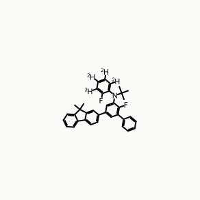 [2H]c1c([2H])c([2H])c(N(c2cc(-c3ccc4c(c3)C(C)(C)c3ccccc3-4)cc(-c3ccccc3)c2F)C(C)(C)C)c(F)c1[2H]